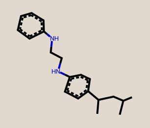 CC(C)CC(C)c1ccc(NCCNc2ccccc2)cc1